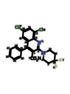 O=C(O)c1c(N2CCC(F)(F)CC2)nc2c(Cl)cc(Cl)cc2c1-c1ccccc1